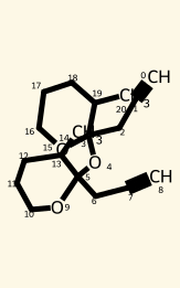 C#CCC1(OC2(CC#C)OCCCC2C)OCCCC1C